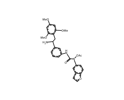 COc1cc(OC)c(CC(N)c2cccc(NC(=O)N(OC(C)=O)c3ccc4occc4c3)c2)c(OC)c1